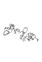 CC(C#N)(CC(C)(C)N1CC[C@@H](F)C1)C(=O)N1CCCC[C@@H]1COC(=O)N[C@@H](Cc1ccccc1)B(O)O